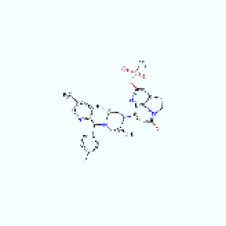 CC[C@@H]1CN(c2cc(=O)n3c4c(cc(OS(=O)(=O)C(F)(F)F)nc24)CC3)[C@@H](C)CN1C(c1ccc(F)cc1)c1ccc(C(F)(F)F)cn1